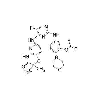 CC1(C)Oc2ccc(Nc3nc(Nc4ccc(N5CCOCC5)c(OC(F)F)c4)ncc3F)nc2NC1=O